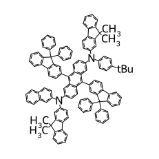 CC(C)(C)c1ccc(N(c2ccc3c(c2)C(C)(C)c2ccccc2-3)c2ccc3c(-c4ccc5c(c4)C(c4ccccc4)(c4ccccc4)c4ccccc4-5)c4cc(N(c5ccc6c(c5)C(C)(C)c5ccccc5-6)c5ccc6ccccc6c5)ccc4c(-c4ccc5c(c4)C(c4ccccc4)(c4ccccc4)c4ccccc4-5)c3c2)cc1